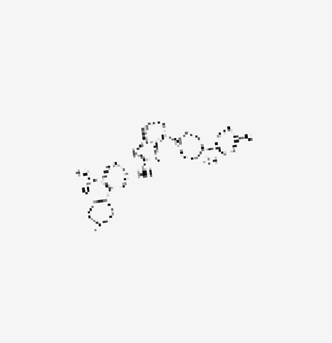 CN1CCC(c2cc(Nc3nc4c(N5CCC(O)(c6ccc(Cl)cc6)CC5)cccn4n3)ccc2C(=O)O)CC1